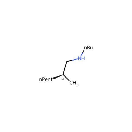 CCCCC[C@H](C)CNCCCC